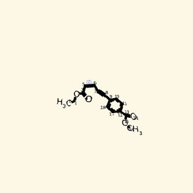 CCOC(=O)/C=C\C#Cc1ccc(C(=O)OC)cc1